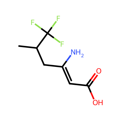 CC(CC(N)=CC(=O)O)C(F)(F)F